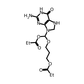 CCC(=O)OCCCOC(OC(=O)CC)N1CNc2c1nc(N)[nH]c2=O